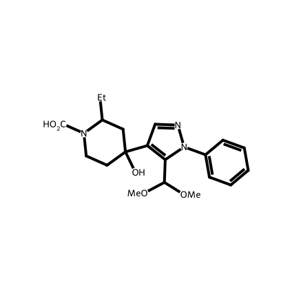 CCC1CC(O)(c2cnn(-c3ccccc3)c2C(OC)OC)CCN1C(=O)O